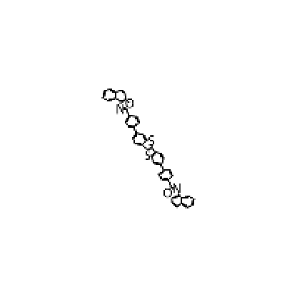 c1ccc2c(c1)ccc1oc(-c3ccc(-c4ccc5c(c4)sc4c6ccc(-c7ccc(-c8nc9c(ccc%10ccccc%109)o8)cc7)cc6sc54)cc3)nc12